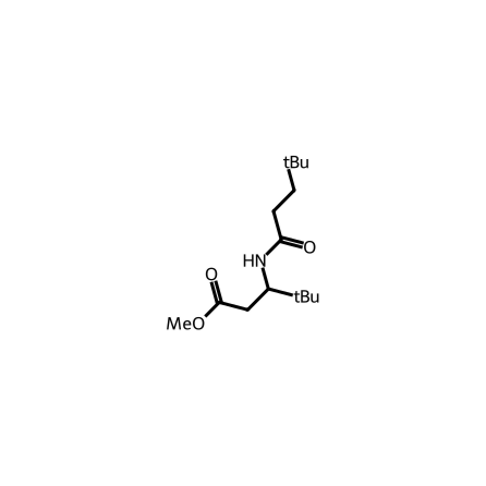 COC(=O)CC(NC(=O)CCC(C)(C)C)C(C)(C)C